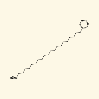 CCCCCCCCCCCCCCCCCCCCCCCCCCCCCCc1ccccc1